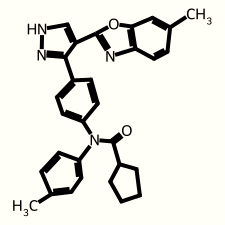 Cc1ccc(N(C(=O)C2CCCC2)c2ccc(-c3n[nH]cc3-c3nc4ccc(C)cc4o3)cc2)cc1